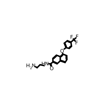 NCCCNC(=O)c1ccc2c(Oc3ccc(C(F)(F)F)cc3)cccc2c1